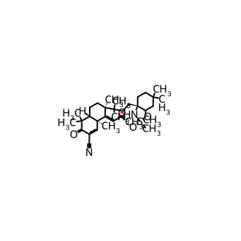 CC(=O)/C=C1/[C@@]2(C)C=C(C#N)C(=O)C(C)(C)[C@@H]2CC[C@@]1(C)C(C)(C)CC[C@@]1(NS(C)(=O)=O)CCC(C)(C)CC1C